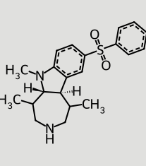 CC1CNCC(C)[C@H]2[C@H]1c1cc(S(=O)(=O)c3ccccc3)ccc1N2C